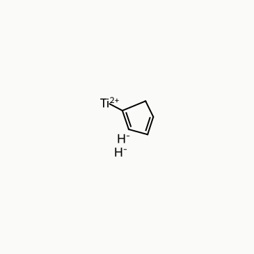 [H-].[H-].[Ti+2][C]1=CC=CC1